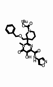 Cn1c(C2(COCc3ccccc3)CCCN(C(=O)OC(C)(C)C)C2)nc(C(=O)Nc2cnoc2)c(O)c1=O